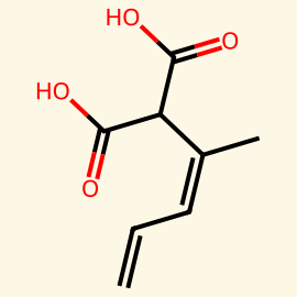 C=CC=C(C)C(C(=O)O)C(=O)O